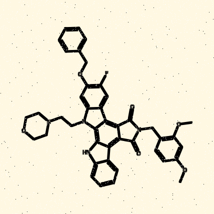 COc1ccc(CN2C(=O)c3c(c4c5cc(F)c(OCc6ccccc6)cc5n(CCN5CCOCC5)c4c4[nH]c5ccccc5c34)C2=O)c(OC)c1